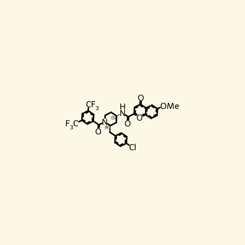 COc1ccc2oc(C(=O)N[C@H]3CCN(C(=O)c4cc(C(F)(F)F)cc(C(F)(F)F)c4)[C@H](Cc4ccc(Cl)cc4)C3)cc(=O)c2c1